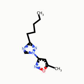 CCCCCc1ncn(-c2cc(C)on2)n1